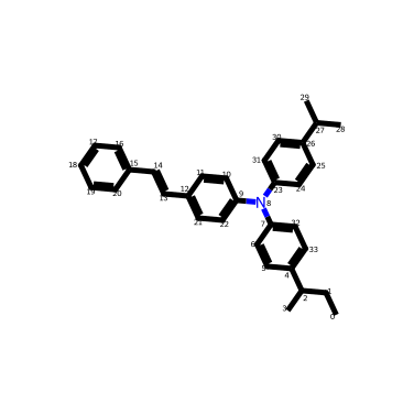 CCC(C)c1ccc(N(c2ccc(C=Cc3ccccc3)cc2)c2ccc(C(C)C)cc2)cc1